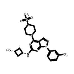 CS(=O)(=O)C1CCN(c2nc(N[C@H]3C[C@@H](O)C3)nc3c2cnn3-c2cccc(C(F)(F)F)c2)CC1